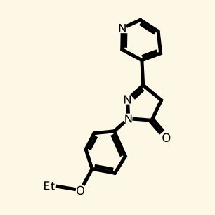 CCOc1ccc(N2N=C(c3cccnc3)CC2=O)cc1